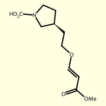 COC(=O)C=COCC[C@@H]1CCN(C(=O)O)C1